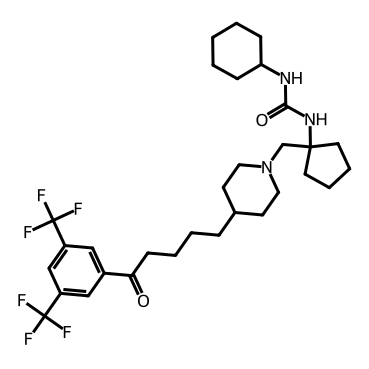 O=C(NC1CCCCC1)NC1(CN2CCC(CCCCC(=O)c3cc(C(F)(F)F)cc(C(F)(F)F)c3)CC2)CCCC1